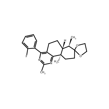 Cc1nc(-c2ccccc2F)c2c(n1)[C@]1(C)CCC3(OCCO3)[C@H](C)[C@H]1CC2